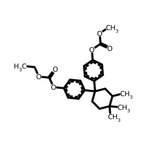 CCOC(=O)Oc1ccc(C2(c3ccc(OC(=O)OC)cc3)CCC(C)(C)C(C)C2)cc1